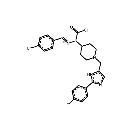 CC(=O)N(/N=C/c1ccc(Br)cc1)C1CCN(Cc2cnc(-c3ccc(F)cc3)[nH]2)CC1